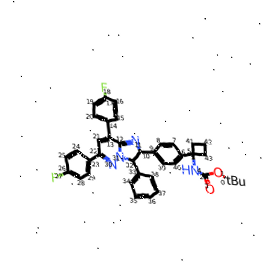 CC(C)(C)OC(=O)NC1(c2ccc(C3N=C4C(c5ccc(F)cc5)=CC(c5ccc(F)cc5)=NN4C3c3ccccc3)cc2)CCC1